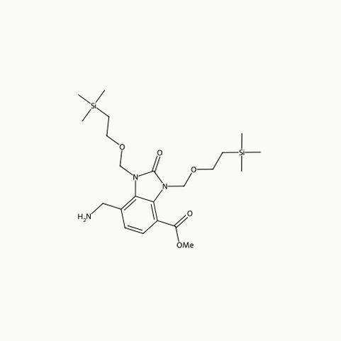 COC(=O)c1ccc(CN)c2c1n(COCC[Si](C)(C)C)c(=O)n2COCC[Si](C)(C)C